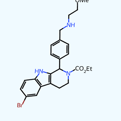 CCOC(=O)N1CCc2c([nH]c3ccc(Br)cc23)C1c1ccc(CNCCOC)cc1